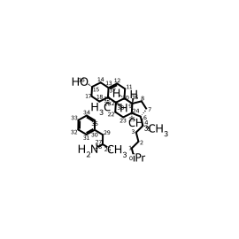 CC(C)CCC[C@@H](C)[C@H]1CC[C@H]2[C@@H]3CC=C4C[C@@H](O)CC[C@]4(C)[C@H]3CC[C@]12C.CC(N)Cc1ccccc1